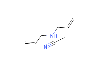 C=CCNCC=C.CC#N